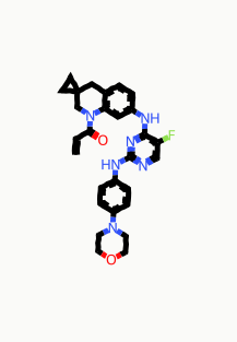 C=CC(=O)N1CC2(CC2)Cc2ccc(Nc3nc(Nc4ccc(N5CCOCC5)cc4)ncc3F)cc21